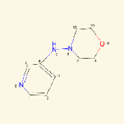 c1cncc(NN2CCOCC2)c1